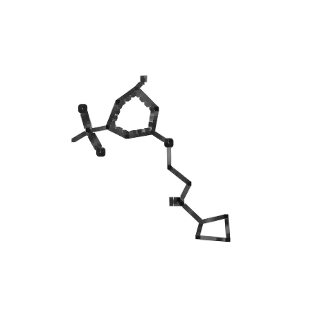 CS(=O)(=O)c1cc(F)cc(OCCNC2CCC2)c1